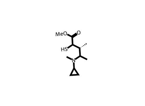 COC(=O)C(S)[C@H](C)C(C)N(C)C1CC1